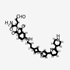 NC(=O)C(CCC=O)N1C(=O)c2ccc(NCCCC3CC(n4cc(-c5cccc(C6CCNCC6)n5)cn4)C3)cc2C1=O